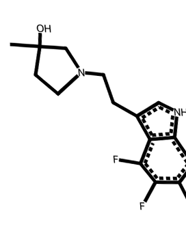 CC1(O)CCN(CCc2c[nH]c3cc(F)c(F)c(F)c23)C1